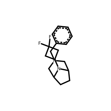 FC1(F)CC(N2C3CCC2CN(Cc2ccccc2)C3)C1